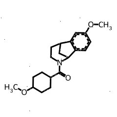 COc1ccc2c(c1)C1CCN(C(=O)C3CCC(OC)CC3)C2C1